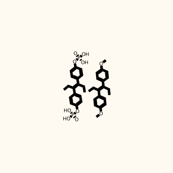 CC/C(=C(/CC)c1ccc(OC)cc1)c1ccc(OC)cc1.CC/C(=C(/CC)c1ccc(OP(=O)(O)O)cc1)c1ccc(OP(=O)(O)O)cc1